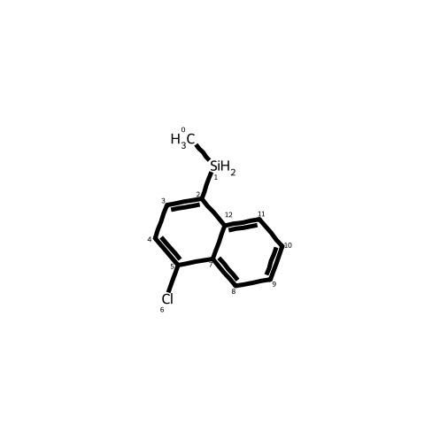 C[SiH2]c1ccc(Cl)c2ccccc12